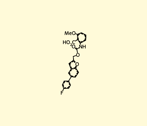 COc1cccc(NC(=O)OCc2cc3cc(-c4ccc(F)cc4)ccc3o2)c1C(=O)O